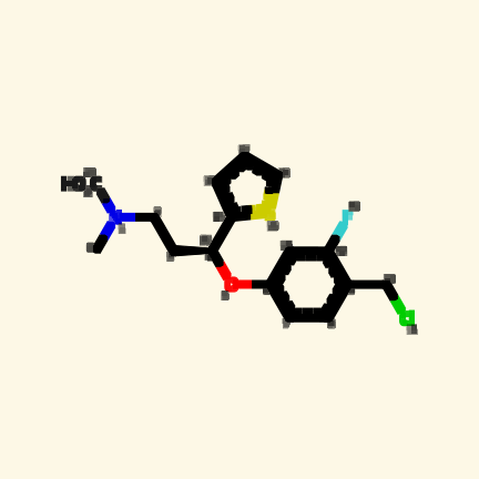 CN(CC[C@H](Oc1ccc(CCl)c(F)c1)c1cccs1)C(=O)O